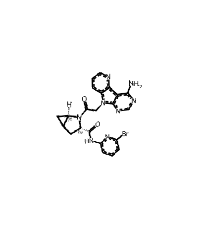 Nc1ncnc2c1c1ncccc1n2CC(=O)N1[C@@H]2CC2C[C@H]1C(=O)Nc1cccc(Br)n1